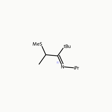 CSC(C)/C(=N/C(C)C)C(C)(C)C